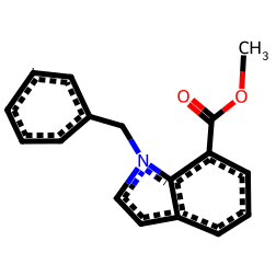 COC(=O)c1cccc2ccn(Cc3c[c]ccc3)c12